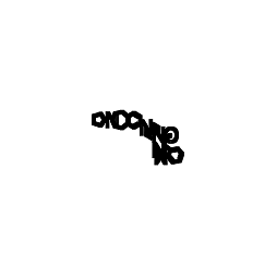 Cn1nc(C(=O)N2CCN(c3ccc4c(c3)CCN(C3CCCC3)CC4)CC2)c2ccccc21